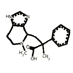 CN1CCc2[nH]cnc2C1CC(C)(C(=O)O)c1ccccc1